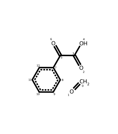 C=O.O=C(O)C(=O)c1ccccc1